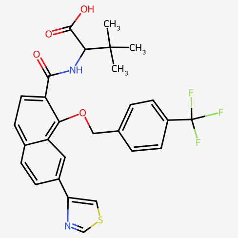 CC(C)(C)C(NC(=O)c1ccc2ccc(-c3cscn3)cc2c1OCc1ccc(C(F)(F)F)cc1)C(=O)O